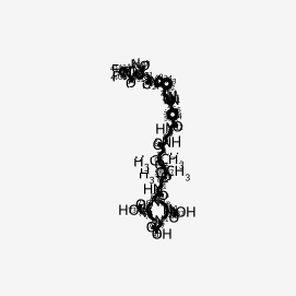 CC(C)(CCC(=O)NCCNC(=O)c1ccc(-c2cn(Cc3cccc4c3CN(C(=O)C[C@H]3C[C@@H](C(=O)N5CC(F)(F)C[C@H]5C#N)NC3=O)C4)nn2)cc1)OCC(C)(C)OCCNC(=O)CN1CCN(CC(=O)O)CCN(CC(=O)O)CCN(CC(=O)O)CC1